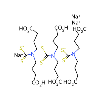 O=C(O)CCCN(CCCC(=O)O)C(=S)[S-].O=C(O)CCCN(CCCC(=O)O)C(=S)[S-].O=C(O)CCCN(CCCC(=O)O)C(=S)[S-].[Na+].[Na+].[Na+]